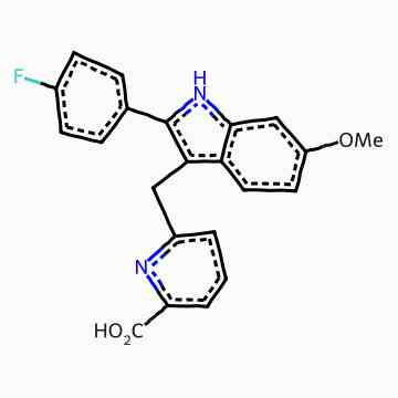 COc1ccc2c(Cc3cccc(C(=O)O)n3)c(-c3ccc(F)cc3)[nH]c2c1